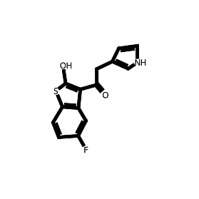 O=C(Cc1cc[nH]c1)c1c(O)sc2ccc(F)cc12